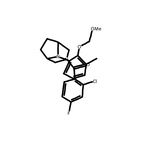 COCOc1c(C)cccc1N1C2CCC1CN(C(=O)c1ccc(F)cc1Cl)C2